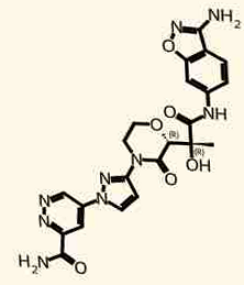 C[C@](O)(C(=O)Nc1ccc2c(N)noc2c1)[C@H]1OCCN(c2ccn(-c3cnnc(C(N)=O)c3)n2)C1=O